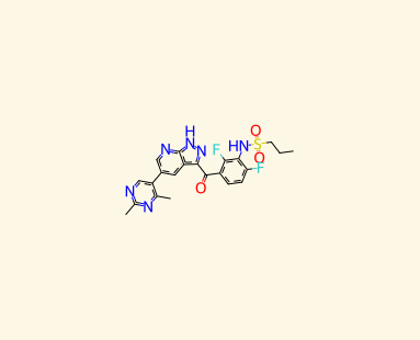 CCCS(=O)(=O)Nc1c(F)ccc(C(=O)c2n[nH]c3ncc(-c4cnc(C)nc4C)cc23)c1F